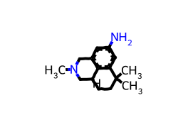 CN1Cc2cc(N)cc3c2[C@@H](CCC3(C)C)C1